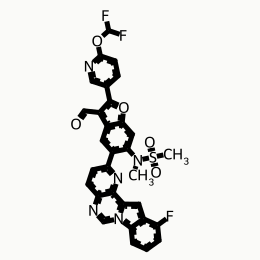 CN(c1cc2oc(-c3ccc(OC(F)F)nc3)c(C=O)c2cc1-c1ccc2ncn3c4cccc(F)c4cc3c2n1)S(C)(=O)=O